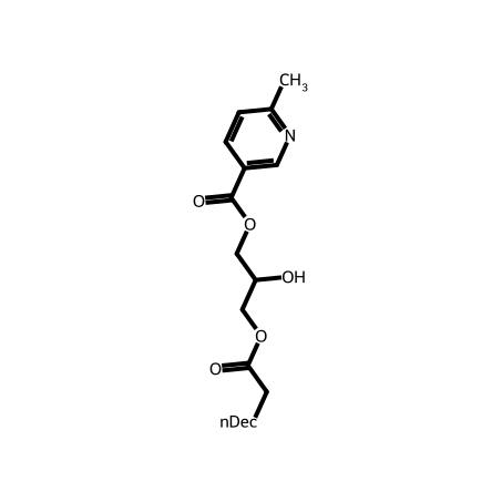 CCCCCCCCCCCC(=O)OCC(O)COC(=O)c1ccc(C)nc1